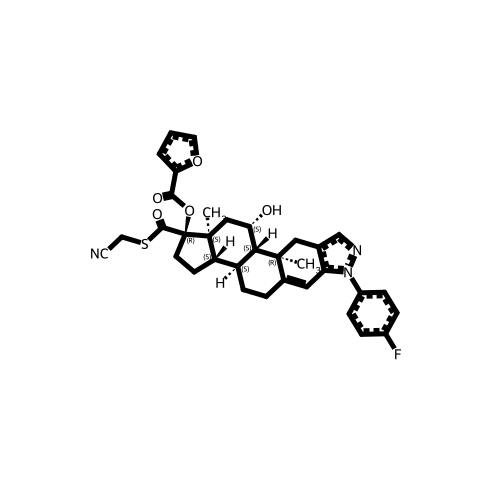 C[C@]12Cc3cnn(-c4ccc(F)cc4)c3C=C1CC[C@@H]1[C@@H]2[C@@H](O)C[C@@]2(C)[C@H]1CC[C@]2(OC(=O)c1ccco1)C(=O)SCC#N